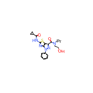 CC(C)N(CCO)C(=O)c1nn(-c2ccccc2)c2nc(NC(=O)C3CC3)sc12